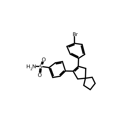 NS(=O)(=O)c1ccc(C2=C(c3ccc(Br)cc3)CC3(CCCC3)C2)cc1